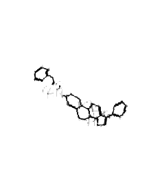 C[C@]12CCC(NOC(=O)Cc3ccccc3)C=C1CC[C@@H]1C2CC[C@]2(C)C(c3ccccc3)=CC[C@@H]12